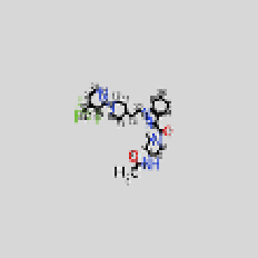 CC(=O)NC1CCN(C(=O)c2nn(CCC3CCN(c4nccc(C(F)(F)F)c4F)CC3)c3c2CCCC3)CC1